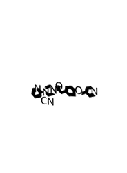 N#Cc1cccnc1N1CCN(C(=O)Cc2ccc(OCc3ccncc3)cc2)CC1